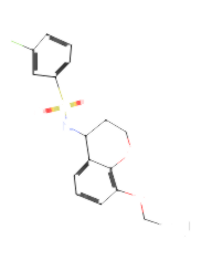 O=C(O)COc1cccc2c1OCCC2NS(=O)(=O)c1cccc(F)c1